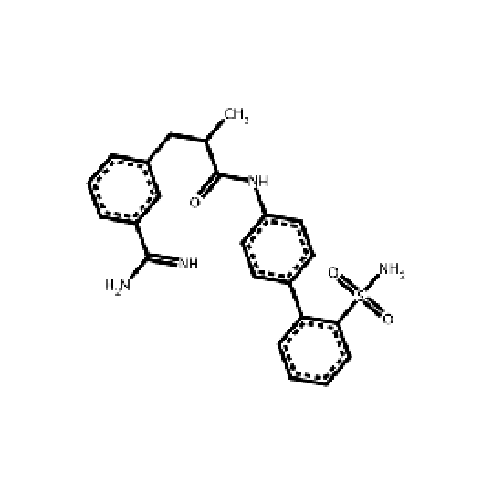 CC(Cc1cccc(C(=N)N)c1)C(=O)Nc1ccc(-c2ccccc2S(N)(=O)=O)cc1